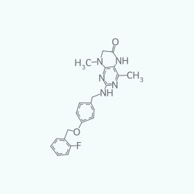 Cc1nc(NCc2ccc(OCc3ccccc3F)cc2)nc2c1NC(=O)CN2C